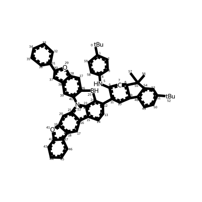 CC(C)(C)c1ccc(Nc2cc3c(cc2-c2ccc4c5cc6c(cc5n5c4c2Bc2cc4oc(-c7ccccc7)cc4cc2-5)oc2ccccc26)-c2ccc(C(C)(C)C)cc2C3(C)C)cc1